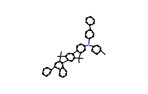 Cc1ccc(N(c2ccc(-c3ccccc3)cc2)c2ccc3c(c2)C(C)(C)c2cc4c(cc2-3)C(C)(C)c2cc(-c3ccccc3)c3ccccc3c2-4)cc1